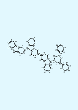 C1=Cc2c3c(n(-c4ccc5oc6ccccc6c5c4)c2CC1)CCC(c1ccc2c(c1)c1ccccc1n2C1=CC(c2ccccc2)=CC(c2ccncc2)C1)=C3